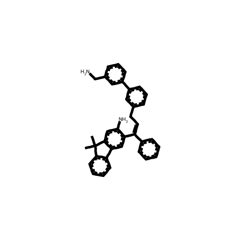 CC1(C)c2ccccc2-c2cc(/C(=C\Cc3cccc(-c4cccc(CN)c4)c3)c3ccccc3)c(N)cc21